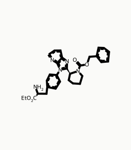 CCOC(=O)[C@@H](N)Cc1ccc(-n2c([C@@H]3CCCCN3C(=O)OCc3ccccc3)nc3cccnc32)cc1